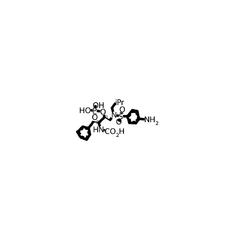 CC(C)CN(C[C@H](OP(=O)(O)O)[C@H](Cc1ccccc1)NC(=O)O)S(=O)(=O)c1ccc(N)cc1